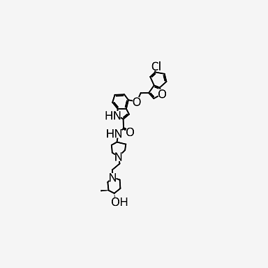 C[C@H]1CN(CCN2CCC(NC(=O)c3cc4c(OCc5coc6ccc(Cl)cc56)cccc4[nH]3)CC2)CC[C@@H]1O